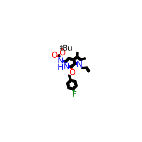 C=CCn1c(C)c(C)c2cc(NC(=O)OC(C)(C)C)nc(OCc3ccc(F)cc3)c21